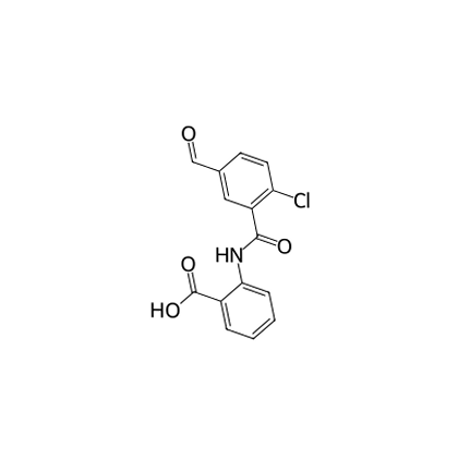 O=Cc1ccc(Cl)c(C(=O)Nc2ccccc2C(=O)O)c1